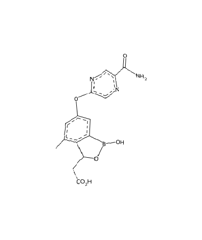 Cc1cc(Oc2cnc(C(N)=O)cn2)cc2c1C(CC(=O)O)OB2O